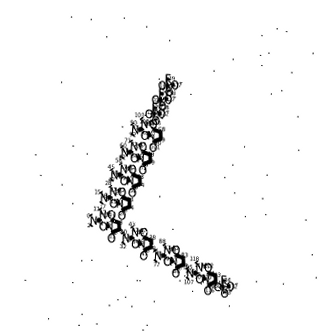 CN(C)C(ON1C(=O)CCC1=O)=[N+](C)C.CN(C)C(ON1C(=O)CCC1=O)=[N+](C)C.CN(C)C(ON1C(=O)CCC1=O)=[N+](C)C.CN(C)C(ON1C(=O)CCC1=O)=[N+](C)C.CN(C)C(ON1C(=O)CCC1=O)=[N+](C)C.CN(C)C(ON1C(=O)CCC1=O)=[N+](C)C.CN(C)C(ON1C(=O)CCC1=O)=[N+](C)C.CN(C)C(ON1C(=O)CCC1=O)=[N+](C)C.O=P([O-])([O-])F.O=P([O-])([O-])F.O=P([O-])([O-])F.O=P([O-])([O-])F